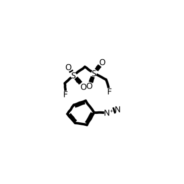 N#[N+]c1ccccc1.O=S(=O)(CF)CS(=O)(=O)CF